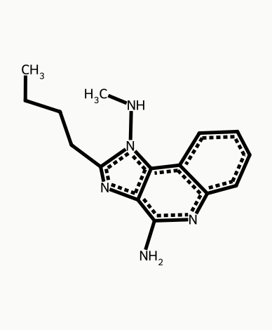 CCCCc1nc2c(N)nc3ccccc3c2n1NC